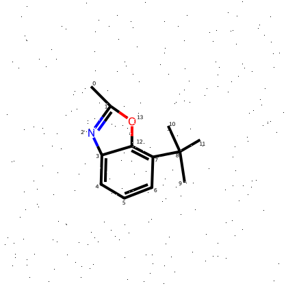 Cc1nc2cccc(C(C)(C)C)c2o1